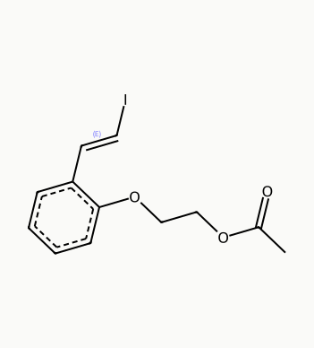 CC(=O)OCCOc1ccccc1/C=C/I